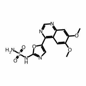 COc1cc2ncnc(-c3cnc(NS(N)(=O)=O)o3)c2cc1OC